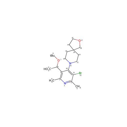 Cc1nc(C)c(C(OC(C)(C)C)C(=O)O)c(N2CCC3(CCOC3)CC2)c1Br